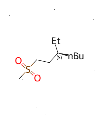 CCCC[C@H](CC)CCS(C)(=O)=O